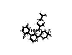 CC(C)c1ncc(C(=O)Nc2c(-c3cc(F)ccc3F)ccnc2C2CCC(C)(F)CC2)cn1